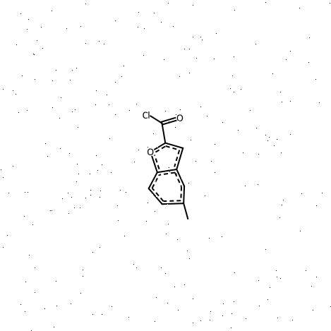 Cc1ccc2oc(C(=O)Cl)cc2c1